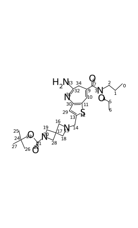 CCCN(OCC)C(=O)C1=Cc2sc(CN3CC4(C3)CN(C(=O)OC(C)(C)C)C4)cc2N=C(N)C1